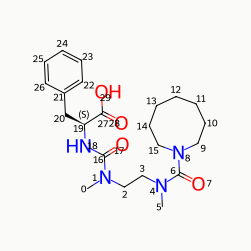 CN(CCN(C)C(=O)N1CCCCCCC1)C(=O)N[C@@H](Cc1ccccc1)C(=O)O